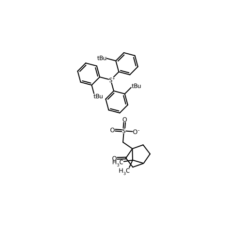 CC(C)(C)c1ccccc1[S+](c1ccccc1C(C)(C)C)c1ccccc1C(C)(C)C.CC1(C)C2CCC1(CS(=O)(=O)[O-])C(=O)C2